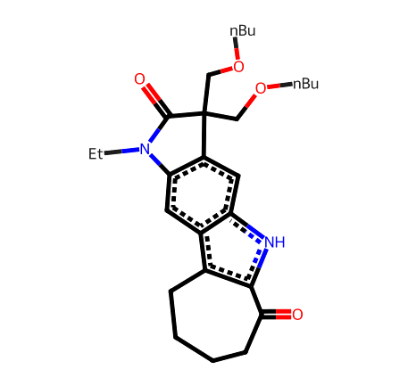 CCCCOCC1(COCCCC)C(=O)N(CC)c2cc3c4c([nH]c3cc21)C(=O)CCCC4